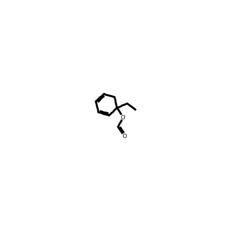 CCC1(OC=O)C=CC=CC1